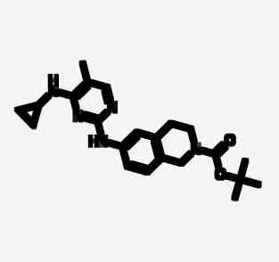 Cc1cnc(Nc2ccc3c(c2)CCN(C(=O)OC(C)(C)C)C3)nc1NC1CC1